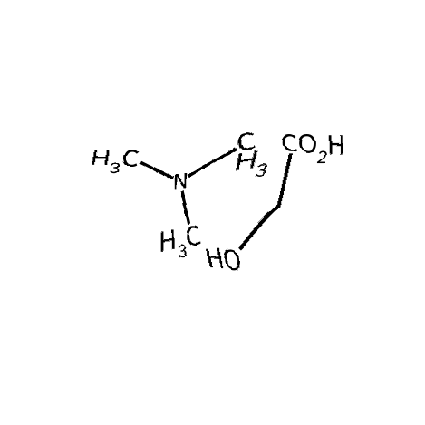 CN(C)C.O=C(O)CO